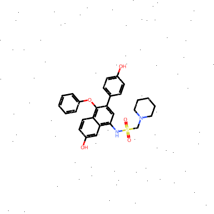 O=S(=O)(CN1CCCCC1)Nc1cc(-c2ccc(O)cc2)c(Oc2ccccc2)c2ccc(O)cc12